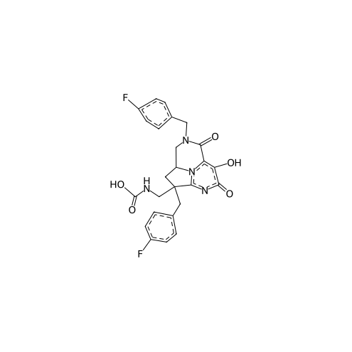 O=C(O)NCC1(Cc2ccc(F)cc2)CC2CN(Cc3ccc(F)cc3)C(=O)c3c(O)c(=O)nc1n32